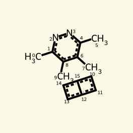 Cc1nnc(C)c(C)c1C.c1cc2ccc1-2